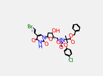 CC(C)(NP(=O)(OC[C@H]1O[C@@H](n2cc(/C=C/Br)c(=O)[nH]c2=O)CC1O)Oc1ccc(Cl)cc1)C(=O)OCc1ccccc1